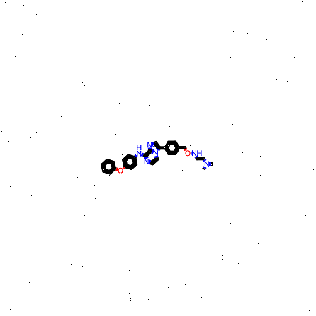 CN(C)CCNOCc1ccc(-c2cnc3c(Nc4ccc(Oc5ccccc5)cc4)nccn23)cc1